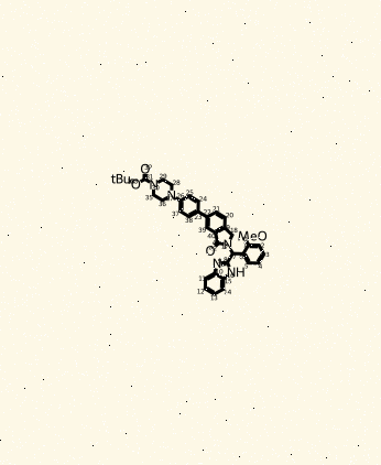 COc1ccccc1C(c1nc2ccccc2[nH]1)N1Cc2ccc(-c3ccc(N4CCN(C(=O)OC(C)(C)C)CC4)cc3)cc2C1=O